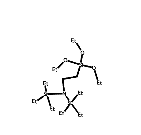 CCO[Si](CCN([Si](CC)(CC)CC)[Si](CC)(CC)CC)(OCC)OCC